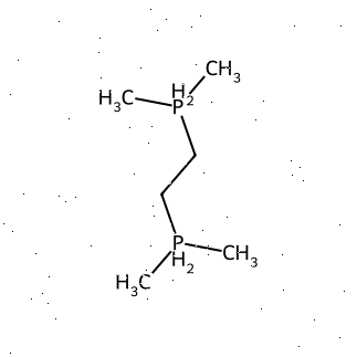 C[PH2](C)CC[PH2](C)C